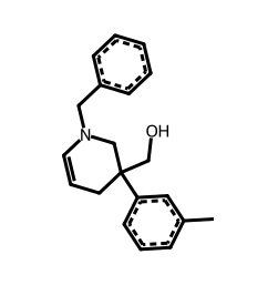 Cc1cccc(C2(CO)CC=CN(Cc3ccccc3)C2)c1